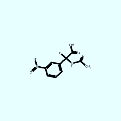 CC(=O)NC(F)(C(=O)O)c1cccc([N+](=O)[O-])c1